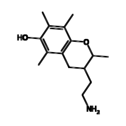 Cc1c(C)c2c(c(C)c1O)CC(CCN)C(C)O2